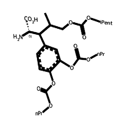 CCCOC(=O)Oc1ccc(C(C(C)COC(=O)OC(C)CCC)[C@H](N)C(=O)O)cc1OC(=O)OCCC